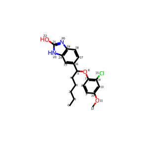 CCCCCC(Oc1ccc(OC)cc1Cl)c1ccc2nc(O)[nH]c2c1